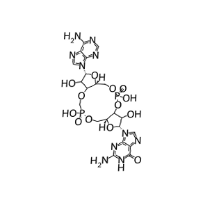 Nc1nc2c(ncn2[C@@H]2O[C@@H]3COP(=O)(O)COC4C(O)[C@H](n5cnc6c(N)ncnc65)O[C@@H]4COP(=O)(O)OC3C2O)c(=O)[nH]1